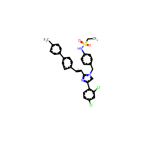 O=S(=O)(CC(F)(F)F)Nc1ccc(Cn2cc(-c3ccc(Cl)cc3Cl)nc2/C=C/c2ccc(-c3ccc(C(F)(F)F)cc3)cc2)cc1